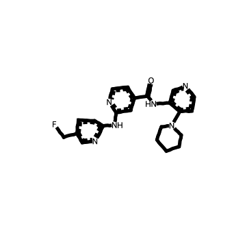 O=C(Nc1cnccc1N1CCCCC1)c1ccnc(Nc2ccc(CF)cn2)c1